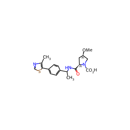 CO[C@@H]1C[C@H](C(=O)NC(C)c2ccc(-c3scnc3C)cc2)N(C(=O)O)C1